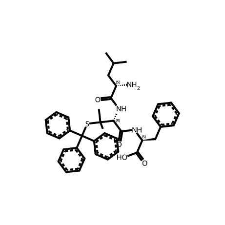 CC(C)C[C@H](N)C(=O)N[C@H](C(=O)N[C@@H](Cc1ccccc1)C(=O)O)C(C)(C)SC(c1ccccc1)(c1ccccc1)c1ccccc1